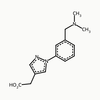 CN(C)Cc1cccc(-n2cc(CC(=O)O)cn2)c1